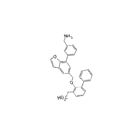 NCc1cccc(-c2cc(COc3c(CC(=O)O)cccc3-c3ccccc3)cc3ccoc23)c1